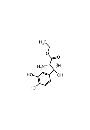 [2H][C@](O)(c1ccc(O)c(O)c1)[C@H](N)C(=O)OCC